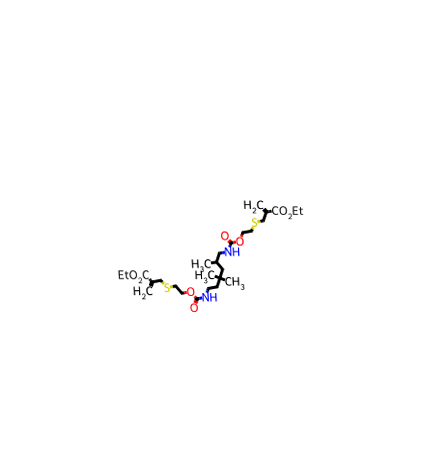 C=C(CSCCOC(=O)NCCC(C)(C)CC(C)CNC(=O)OCCSCC(=C)C(=O)OCC)C(=O)OCC